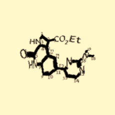 CCOC(=O)c1c[nH]c2c(=O)[nH]c3ccc(-c4ccnc(N(C)C)n4)cc3c12